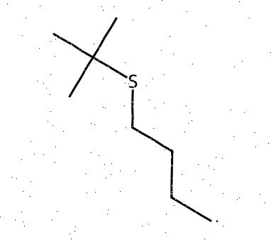 [CH2]CCCSC(C)(C)C